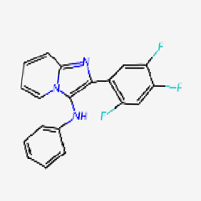 Fc1cc(F)c(-c2nc3ccccn3c2Nc2ccccc2)cc1F